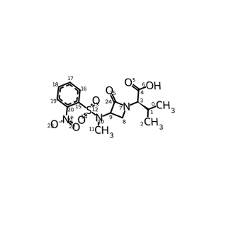 CC(C)[C@H](C(=O)O)N1CC(N(C)S(=O)(=O)c2ccccc2[N+](=O)[O-])C1=O